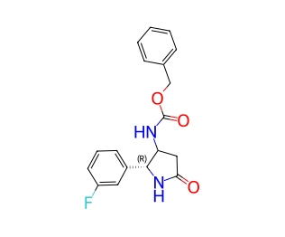 O=C1CC(NC(=O)OCc2ccccc2)[C@@H](c2cccc(F)c2)N1